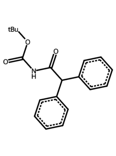 CC(C)(C)OC(=O)NC(=O)C(c1ccccc1)c1ccccc1